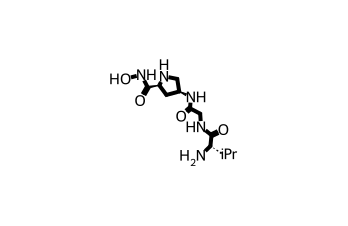 CC(C)[C@H](N)C(=O)NCC(=O)N[C@@H]1CN[C@H](C(=O)NO)C1